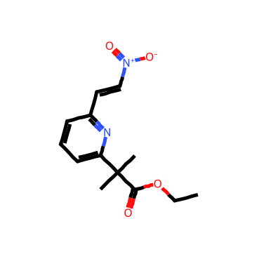 CCOC(=O)C(C)(C)c1cccc(C=C[N+](=O)[O-])n1